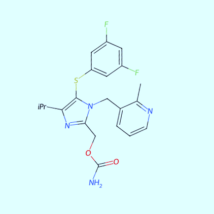 Cc1ncccc1Cn1c(COC(N)=O)nc(C(C)C)c1Sc1cc(F)cc(F)c1